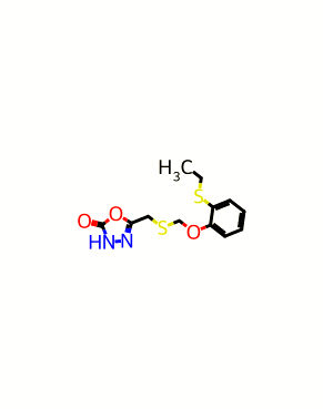 CCSc1ccccc1OCSCc1n[nH]c(=O)o1